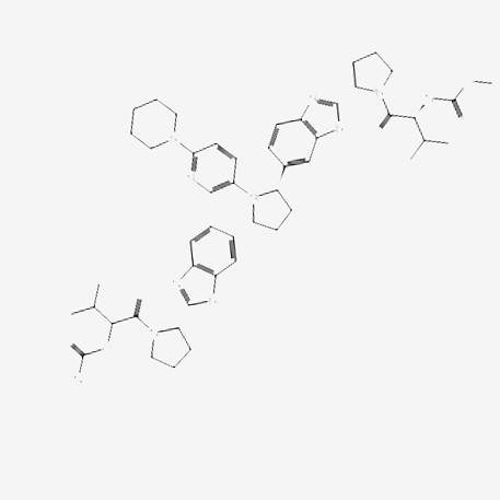 COC(=O)N[C@H](C(=O)N1CCC[C@H]1c1nc2ccc([C@H]3CC[C@H](c4ccc5nc([C@@H]6CCCN6C(=O)C(OC(N)=O)C(C)C)[nH]c5c4)N3c3ccc(N4CCCCC4)nc3)cc2[nH]1)C(C)C